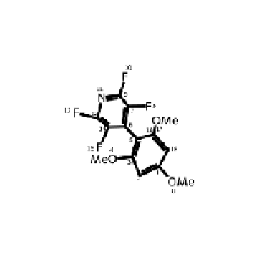 COc1cc(OC)c(-c2c(F)c(F)nc(F)c2F)c(OC)c1